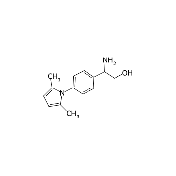 Cc1ccc(C)n1-c1ccc(C(N)CO)cc1